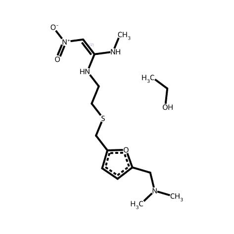 CCO.CN/C(=C/[N+](=O)[O-])NCCSCc1ccc(CN(C)C)o1